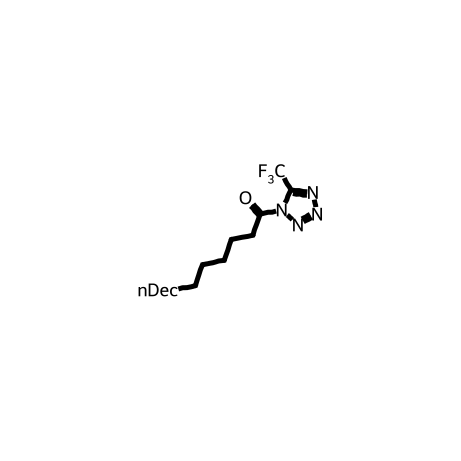 CCCCCCCCCCCCCCCC(=O)n1nnnc1C(F)(F)F